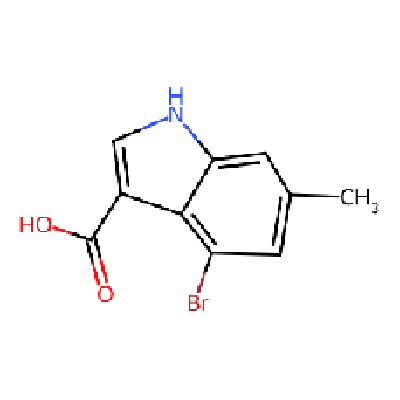 Cc1cc(Br)c2c(C(=O)O)c[nH]c2c1